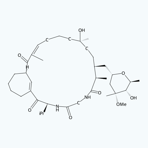 CO[C@]1(C)C[C@H](C[C@@H]2CC[C@](C)(O)CCC/C=C(\C)C(=O)[C@H]3C=C(CCCC3)C(=O)[C@H](C(C)C)NC(=O)CNC(=O)[C@@H]2C)O[C@@H](C)[C@@H]1O